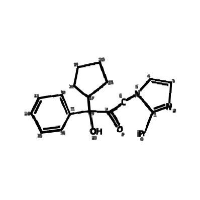 CC(C)c1nccn1CC(=O)C(O)(c1ccccc1)C1CCCC1